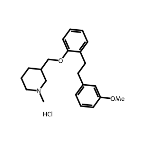 COc1cccc(CCc2ccccc2OCC2CCCN(C)C2)c1.Cl